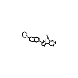 Cn1c(-c2ccc3cc(N4CCCCC4)ccc3c2)ccc1-c1ccncc1C#N